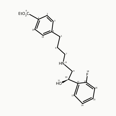 CCOC(=O)c1ccc(CCCNC[C@H](O)c2ccccc2F)cc1